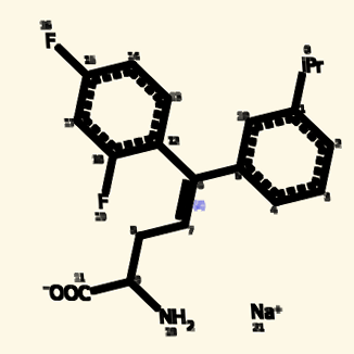 CC(C)c1cccc(/C(=C/CC(N)C(=O)[O-])c2ccc(F)cc2F)c1.[Na+]